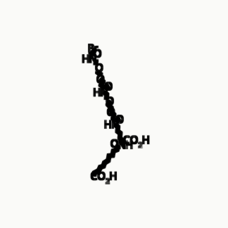 O=C(O)CCCCCCCCCCC(=O)N[C@@H](CCCCNC(=O)CCOCCOCCNC(=O)CCOCCOCCNC(=O)CBr)C(=O)O